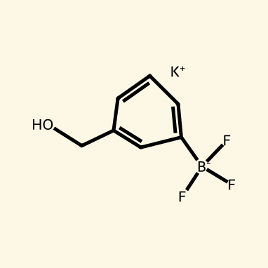 OCc1cccc([B-](F)(F)F)c1.[K+]